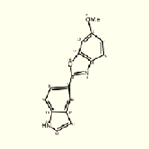 COc1ccc2nc(-c3ccc4[nH]ccc4c3)oc2c1